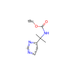 CC(C)(C)OC(=O)NC(C)(C)c1ccn[c]n1